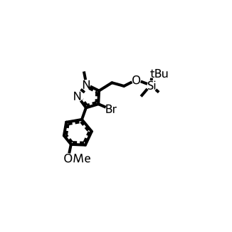 COc1ccc(-c2nn(C)c(CCO[Si](C)(C)C(C)(C)C)c2Br)cc1